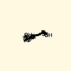 COC(=O)[C@@H](NC(=O)c1ccc(C#CC#Cc2ccc(CO)s2)cc1)[C@@H](C)O